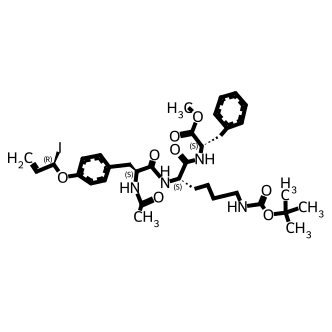 C=C[C@@H](I)Oc1ccc(C[C@H](NC(C)=O)C(=O)N[C@@H](CCCCNC(=O)OC(C)(C)C)C(=O)N[C@@H](Cc2ccccc2)C(=O)OC)cc1